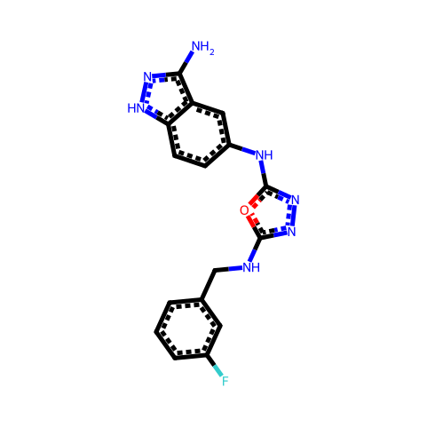 Nc1n[nH]c2ccc(Nc3nnc(NCc4cccc(F)c4)o3)cc12